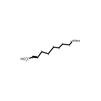 CCCCCCCCCCCCC=CC(=O)O